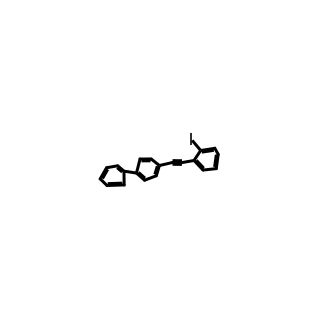 Ic1ccccc1C#Cc1ccc(-c2ccccc2)cc1